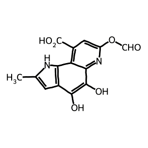 Cc1cc2c(O)c(O)c3nc(OC=O)cc(C(=O)O)c3c2[nH]1